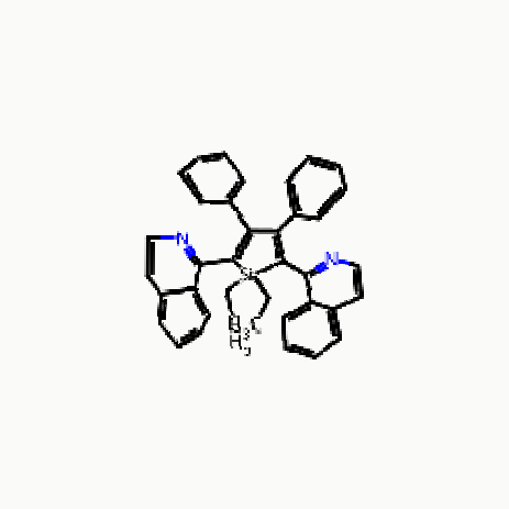 CC[Si]1(CC)C(c2nccc3ccccc23)=C(c2ccccc2)C(c2ccccc2)=C1c1nccc2ccccc12